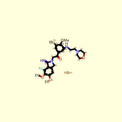 Br.CCOc1cc2c(c(F)c1OCC)C(=N)N(CC(=O)c1cc(NCCN3CCOCC3)c(OC)c(C(C)(C)C)c1)C2